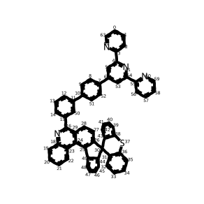 c1ccc(-c2cc(-c3ccc(-c4cccc(-c5nc6ccccc6c6c7c(ccc56)C5(c6ccccc6Sc6ccccc65)c5ccccc5-7)c4)cc3)cc(-c3ccccn3)n2)nc1